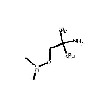 C[SiH](C)OCC(N)(C(C)(C)C)C(C)(C)C